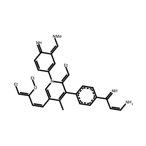 CC/C=C(/C=C\C1=CN(C2=C/C(=C/NC)C(=N)C=C2)/C(=C\CC)C(c2ccc(C(=N)/C=C\N)cc2)=C1C)OCC